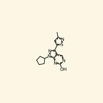 Cc1cc(-c2nn(C3CCCC3)c3nc(O)ncc23)sn1